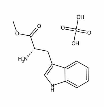 COC(=O)[C@@H](N)Cc1c[nH]c2ccccc12.O=S(=O)(O)O